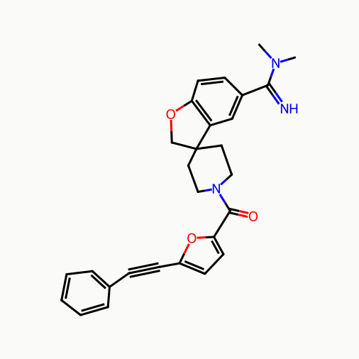 CN(C)C(=N)c1ccc2c(c1)C1(CCN(C(=O)c3ccc(C#Cc4ccccc4)o3)CC1)CO2